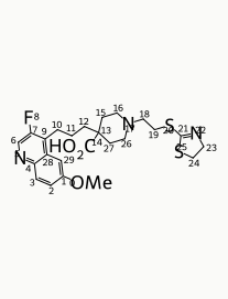 COc1ccc2ncc(F)c(CCCC3(C(=O)O)CCN(CCSC4=NCCS4)CC3)c2c1